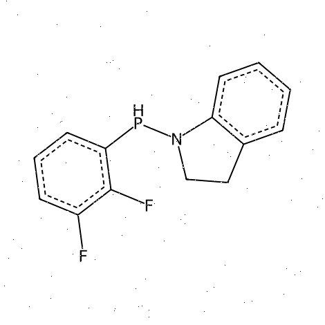 Fc1cccc(PN2CCc3ccccc32)c1F